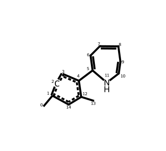 Cc1ccc(C2=CC=CC=CN2)c(C)c1